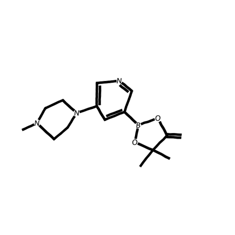 C=C1OB(c2cncc(N3CCN(C)CC3)c2)OC1(C)C